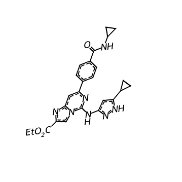 CCOC(=O)c1cn2c(Nc3cc(C4CC4)[nH]n3)nc(-c3ccc(C(=O)NC4CC4)cc3)cc2n1